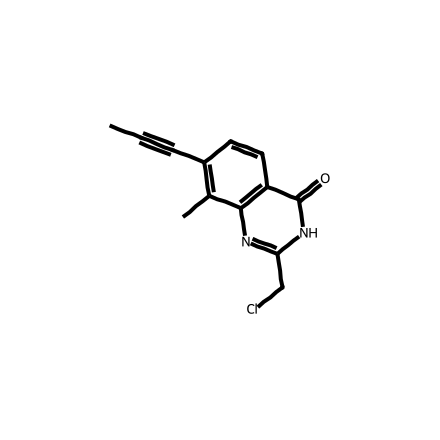 CC#Cc1ccc2c(=O)[nH]c(CCl)nc2c1C